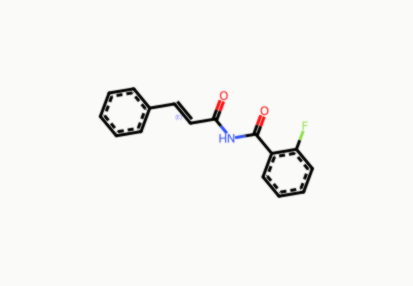 O=C(/C=C/c1ccccc1)NC(=O)c1ccccc1F